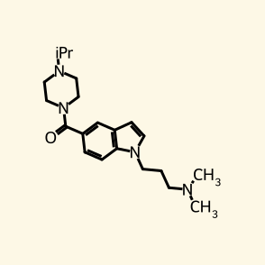 CC(C)N1CCN(C(=O)c2ccc3c(ccn3CCCN(C)C)c2)CC1